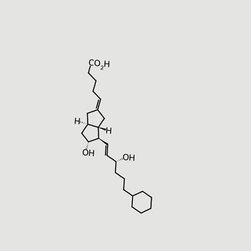 O=C(O)CCC/C=C1\C[C@@H]2C[C@@H](O)[C@H](/C=C/[C@H](O)CCCC3CCCCC3)[C@H]2C1